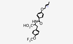 C/C=C/COc1ccc(C(=O)NC(Cc2ccc(OC(F)(F)F)cc2)C(=O)O)cc1